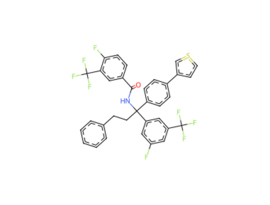 O=C(NC(CCc1ccccc1)(c1ccc(-c2ccsc2)cc1)c1cc(F)cc(C(F)(F)F)c1)c1ccc(F)c(C(F)(F)F)c1